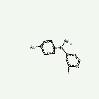 CC(=O)c1ccc(N(N)c2cc(C)ncn2)cc1